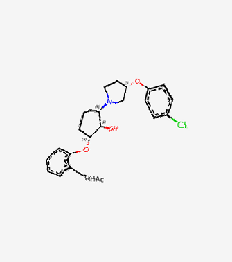 CC(=O)Nc1ccccc1O[C@@H]1CC[C@@H](N2CC[C@H](Oc3ccc(Cl)cc3)C2)[C@H]1O